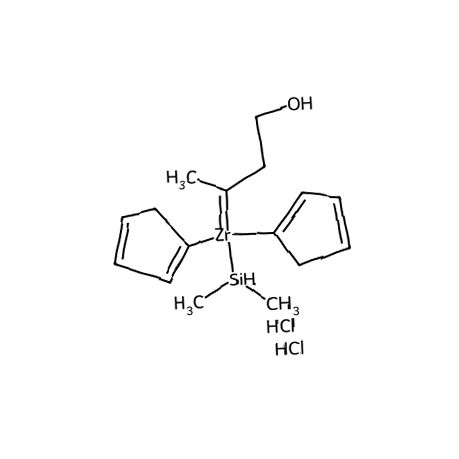 C[C](CCO)=[Zr]([C]1=CC=CC1)([C]1=CC=CC1)[SiH](C)C.Cl.Cl